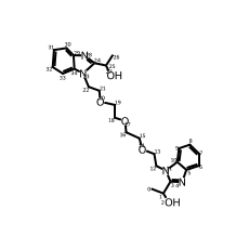 CC(O)c1nc2ccccc2n1CCOCCOCCOCCn1c(C(C)O)nc2ccccc21